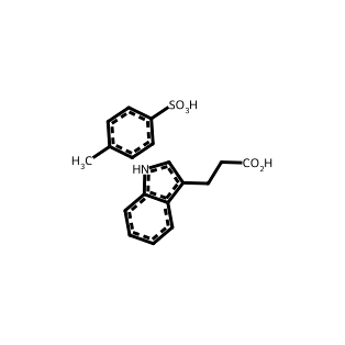 Cc1ccc(S(=O)(=O)O)cc1.O=C(O)CCc1c[nH]c2ccccc12